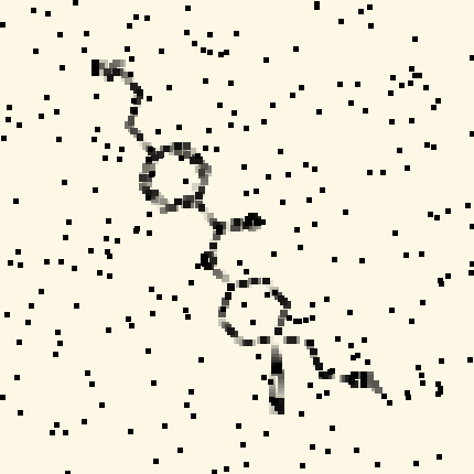 CCCc1ccc(C(=O)O[C@H]2CC[C@@](C#N)(CCC)CC2)cc1